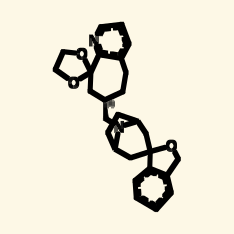 c1ccc2c(c1)COC21CC2CCC(C1)N2C[C@@H]1CCc2cccnc2C2(C1)OCCO2